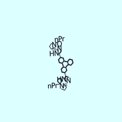 CCCC(=O)N1CCC[C@H]1c1ncc(-c2ccc3c4ccc(-c5cnc([C@@H]6CCCN6C(=O)CCC)[nH]5)cc4c4ccccc4c3c2)[nH]1